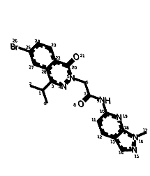 CC(C)c1nn(CC(=O)Nc2ccc3cnn(C)c3n2)c(=O)c2ccc(Br)cc12